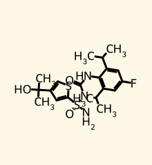 CC(C)c1cc(F)cc(C(C)C)c1NC(=O)N=S(N)(=O)c1cc(C(C)(C)O)cs1